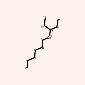 CCCCCCSC(CC)CC